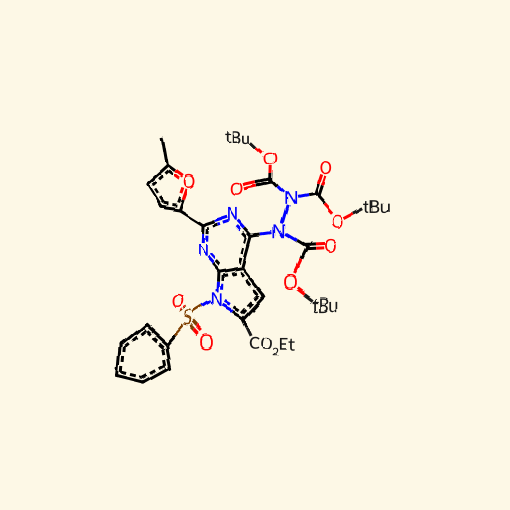 CCOC(=O)c1cc2c(N(C(=O)OC(C)(C)C)N(C(=O)OC(C)(C)C)C(=O)OC(C)(C)C)nc(-c3ccc(C)o3)nc2n1S(=O)(=O)c1ccccc1